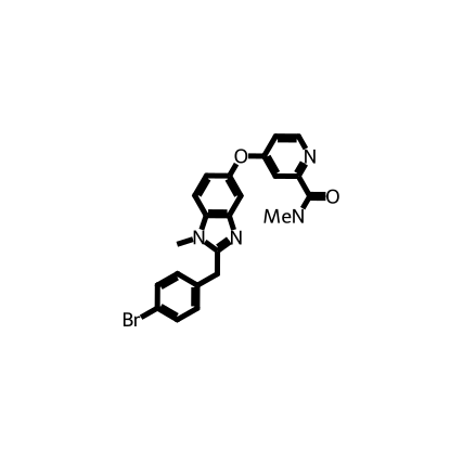 CNC(=O)c1cc(Oc2ccc3c(c2)nc(Cc2ccc(Br)cc2)n3C)ccn1